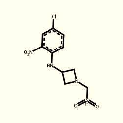 O=[N+]([O-])c1cc(Cl)ccc1NC1CN(C[SH](=O)=O)C1